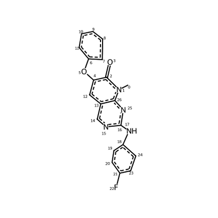 Cn1c(=O)c(Oc2ccccc2)cc2cnc(Nc3ccc(F)cc3)nc21